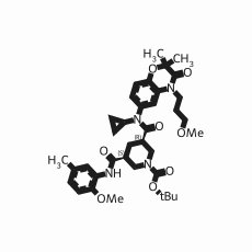 COCCCN1C(=O)C(C)(C)Oc2ccc(N(C(=O)[C@@H]3C[C@H](C(=O)Nc4cc(C)ccc4OC)CN(C(=O)OC(C)(C)C)C3)C3CC3)cc21